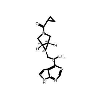 CN(C[C@H]1[C@@H]2CN(C(=O)C3CC3)C[C@@H]21)c1ncnc2[nH]ccc12